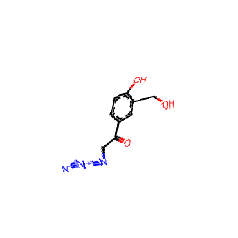 [N-]=[N+]=NCC(=O)c1ccc(O)c(CO)c1